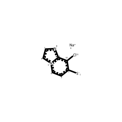 [Na+].[S-]c1ccn2ccnc2c1Cl